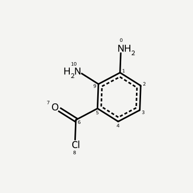 Nc1cccc(C(=O)Cl)c1N